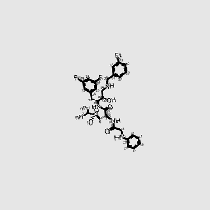 CCCC(CCC)S(=O)(=O)C[C@@H](NC(=O)CNc1ccccc1)C(=O)N[C@@H](Cc1cc(F)cc(F)c1)[C@H](O)CNCc1cccc(CC)c1